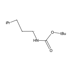 CC(C)CC[CH]NC(=O)OC(C)(C)C